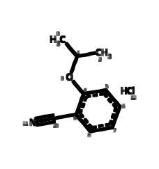 CC(C)Oc1ccccc1C#N.Cl